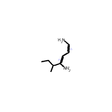 CCC(C)/C(N)=C/C=C\N